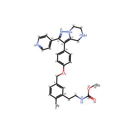 CC(C)c1ccc(COc2ccc(-c3c(-c4ccncc4)nn4c3CNCC4)cc2)cc1CCNC(=O)OC(C)(C)C